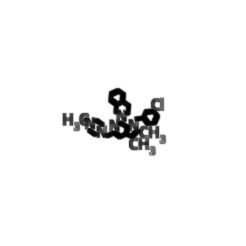 Cc1c(C)n(Cc2cccc(Cl)c2)c2c(N3CCc4ccccc4C3)nc(CN3CCN(C)CC3)cc12